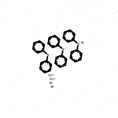 [Br-].[Br-].[Br-].[Fe+3].[Fe+3].c1ccc([N-]c2ccccc2)cc1.c1ccc([N-]c2ccccc2)cc1.c1ccc([N-]c2ccccc2)cc1